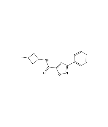 CC1CC(NC(=O)c2cc(-c3ccccc3)no2)C1